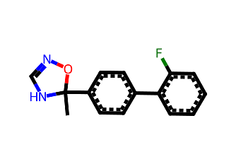 CC1(c2ccc(-c3ccccc3F)cc2)NC=NO1